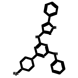 CN1CCN(c2nc(Nc3ccccc3)nc(Nc3cc(-c4ccccc4)[nH]n3)n2)CC1